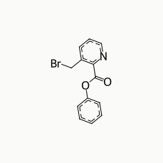 O=C(Oc1ccccc1)c1ncccc1CBr